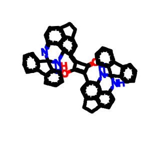 O=C1C(c2cc3c4c(ccc5c4c2NC2(N5)c4ccccc4-c4ccccc42)CC3)=C(O)/C1=c1/cc2c3c(ccc4c3c1NC1(N=4)c3ccccc3-c3ccccc31)CC2